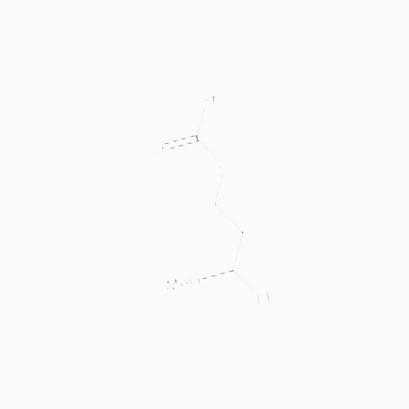 CCC(=O)OCCC(CC)OC